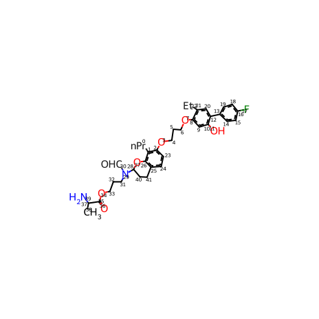 CCCc1c(OCCCOc2cc(O)c(-c3ccc(F)cc3)cc2CC)ccc2c1OC(N(C=O)CCCOC(=O)C(C)N)CC2